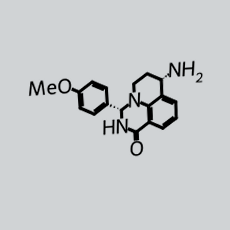 COc1ccc([C@H]2NC(=O)c3cccc4c3N2CC[C@@H]4N)cc1